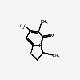 Cc1c(C(F)(F)F)cc2n(c1=O)C(C)CS2